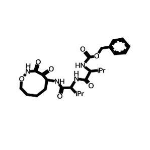 CC(C)C(NC(=O)OCc1ccccc1)C(=O)NC(C(=O)NC1CCCCONC(=O)C1=O)C(C)C